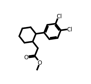 COC(=O)CC1CCCCC1c1ccc(Cl)c(Cl)c1